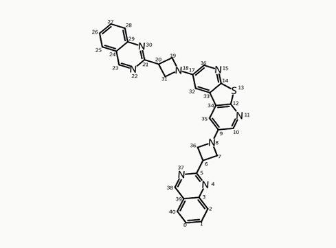 c1ccc2nc(C3CN(c4cnc5sc6ncc(N7CC(c8ncc9ccccc9n8)C7)cc6c5c4)C3)ncc2c1